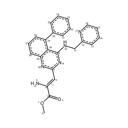 COC(=O)/C(N)=C/c1nc(NCc2ccccn2)c2c(-c3ccccc3)cccc2n1